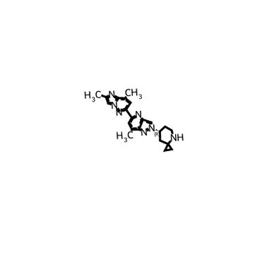 Cc1cn2nc(-c3cc(C)c4nn([C@@H]5CCNC6(CC6)C5)cc4n3)cc(C)c2n1